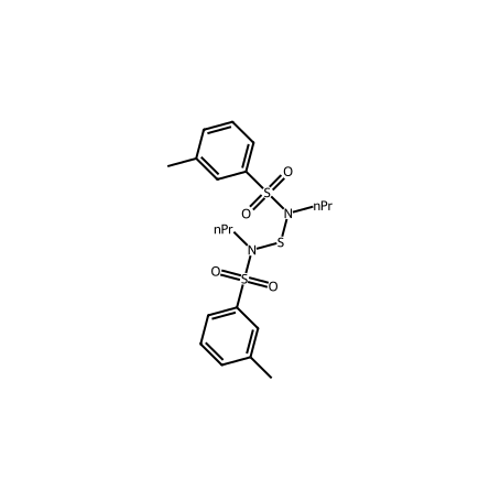 CCCN(SN(CCC)S(=O)(=O)c1cccc(C)c1)S(=O)(=O)c1cccc(C)c1